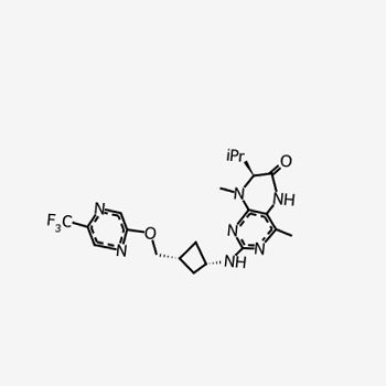 Cc1nc(N[C@H]2C[C@@H](COc3cnc(C(F)(F)F)cn3)C2)nc2c1NC(=O)[C@H](C(C)C)N2C